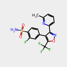 Cc1cccc(-c2noc(C(F)(F)F)c2-c2ccc(S(N)(=O)=O)c(F)c2)n1